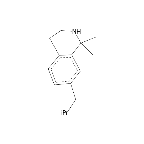 CC(C)Cc1ccc2c(c1)C(C)(C)NCC2